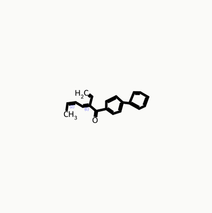 C=C/C(=C\C=C/C)C(=O)c1ccc(-c2ccccc2)cc1